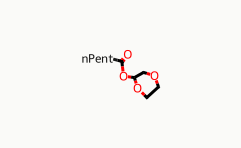 CCCCCC(=O)OC1COCCO1